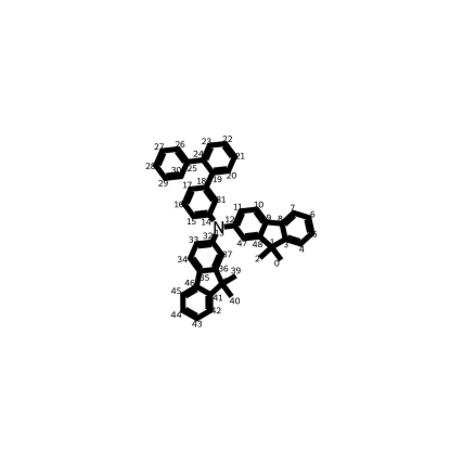 CC1(C)c2ccccc2-c2ccc(N(c3cccc(-c4ccccc4-c4ccccc4)c3)c3ccc4c(c3)C(C)(C)c3ccccc3-4)cc21